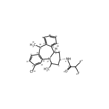 CC1C[C@@H](NC(=O)C(F)F)C[C@@H]2c3ccccc3N(C)c3ccc(Cl)cc3N12